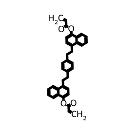 C=CC(=O)Oc1ccc(CCc2ccc(CCc3ccc(OC(=O)C=C)c4ccccc34)cc2)c2ccccc12